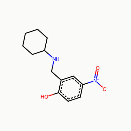 O=[N+]([O-])c1ccc(O)c(CNC2CCCCC2)c1